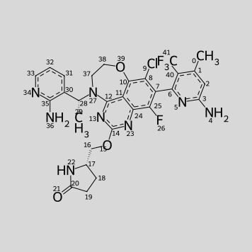 Cc1cc(N)nc(-c2c(Cl)c3c4c(nc(OC[C@@H]5CCC(=O)N5)nc4c2F)N([C@H](C)c2cccnc2N)CCO3)c1C(F)(F)F